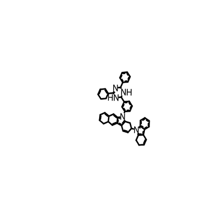 C1=CCCC(C2=NC(c3ccccc3)NC(c3cccc(-n4c5c(c6c4=CC4=CC=CCC4C=6)C=CC(n4c6c(c7ccccc74)C=CCC6)C5)c3)N2)=C1